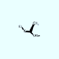 C=C(SC)SCC